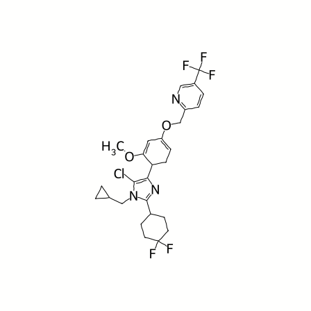 COC1=CC(OCc2ccc(C(F)(F)F)cn2)=CCC1c1nc(C2CCC(F)(F)CC2)n(CC2CC2)c1Cl